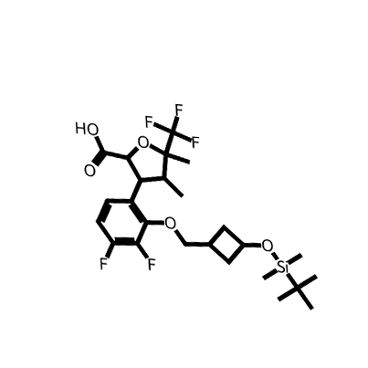 CC1C(c2ccc(F)c(F)c2OCC2CC(O[Si](C)(C)C(C)(C)C)C2)C(C(=O)O)OC1(C)C(F)(F)F